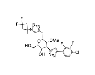 CO[C@@H]1[C@@H](n2cc(-c3ccc(Cl)c(F)c3F)nn2)[C@@H](O)[C@@H](CO)O[C@@H]1Cc1cn(C2(C)CC(F)(F)C2)nn1